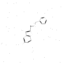 O=C(NCc1ccccc1)c1cc2cc([N+](=O)[O-])ccc2[nH]1